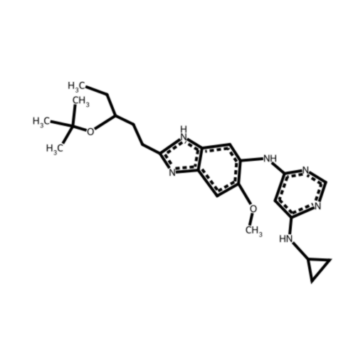 CCC(CCc1nc2cc(OC)c(Nc3cc(NC4CC4)ncn3)cc2[nH]1)OC(C)(C)C